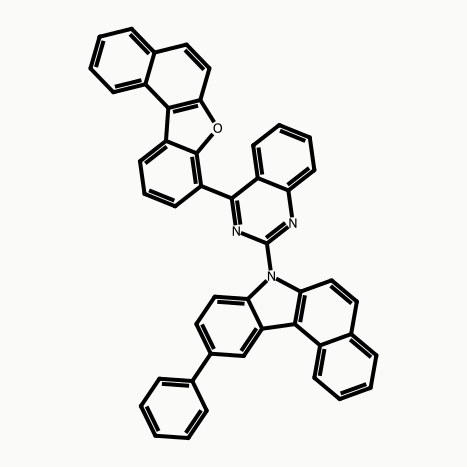 c1ccc(-c2ccc3c(c2)c2c4ccccc4ccc2n3-c2nc(-c3cccc4c3oc3ccc5ccccc5c34)c3ccccc3n2)cc1